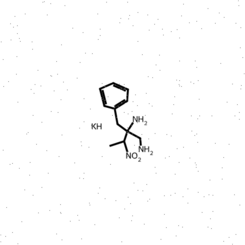 CC([N+](=O)[O-])C(N)(CN)Cc1ccccc1.[KH]